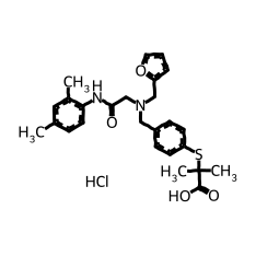 Cc1ccc(NC(=O)CN(Cc2ccc(SC(C)(C)C(=O)O)cc2)Cc2ccco2)c(C)c1.Cl